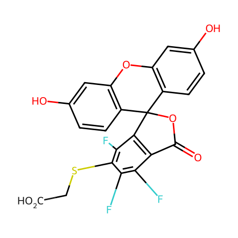 O=C(O)CSc1c(F)c(F)c2c(c1F)C1(OC2=O)c2ccc(O)cc2Oc2cc(O)ccc21